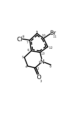 CN1C(=O)CCc2c(Cl)cc(Br)cc21